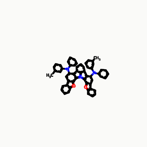 Cc1cccc(N(c2ccccc2)c2cc3c4ccccc4oc3c3c2c2cccc4c5c(N(c6ccccc6)c6cccc(C)c6)cc6c7ccccc7oc6c5n3c24)c1